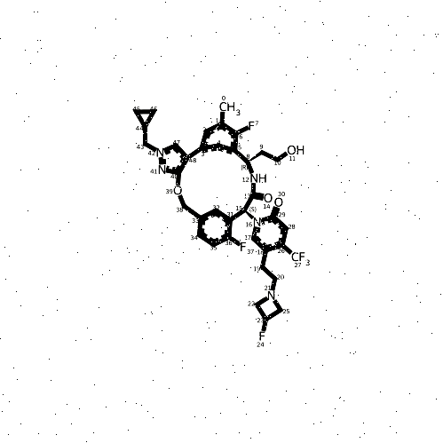 Cc1cc2cc(c1F)[C@@H](CCO)NC(=O)[C@@H](n1cc(CCN3CC(F)C3)c(C(F)(F)F)cc1=O)c1cc(ccc1F)COc1nn(CC3CC3)cc1-2